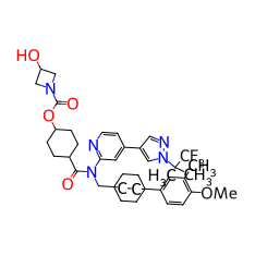 COc1ccc(C23CCC(CN(C(=O)C4CCC(OC(=O)N5CC(O)C5)CC4)c4cc(-c5cnn(C(C)(C)C(F)(F)F)c5)ccn4)(CC2)CC3)cc1C